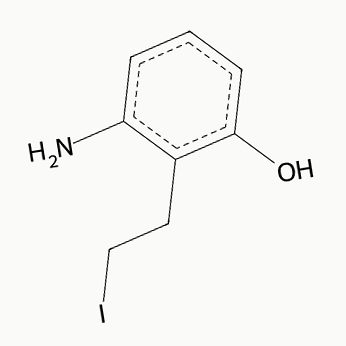 Nc1cccc(O)c1CCI